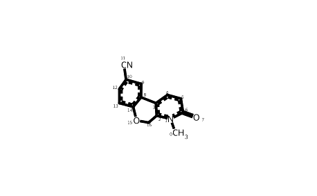 Cn1c2c(ccc1=O)-c1cc(C#N)ccc1OC2